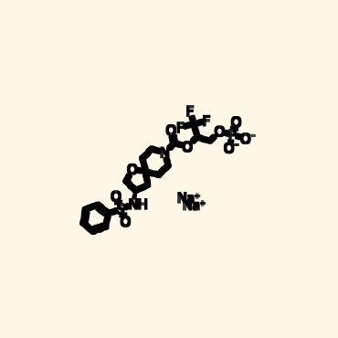 O=C(OC(COP(=O)([O-])[O-])C(F)(F)F)N1CCC2(CC1)C[C@@H](NS(=O)(=O)c1ccccc1)CO2.[Na+].[Na+]